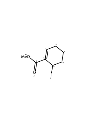 COC(=O)C1=CCCCC1I